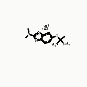 CN(C)c1nc2ccc(OC(C)(N)N)cc2s1.Cl.Cl